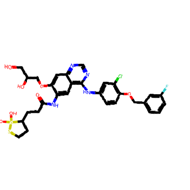 O=C(CCC1CCSS1(O)O)Nc1cc2c(Nc3ccc(OCc4cccc(F)c4)c(Cl)c3)ncnc2cc1OCC(O)CO